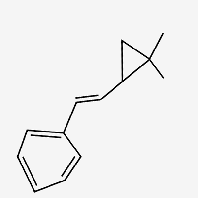 CC1(C)CC1C=Cc1ccccc1